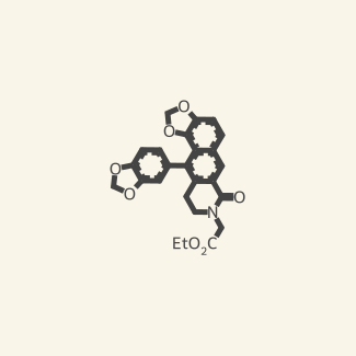 CCOC(=O)CN1CCc2c(cc3ccc4c(c3c2-c2ccc3c(c2)OCO3)OCO4)C1=O